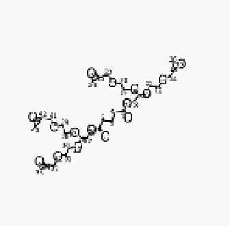 O=C(CCCC(=O)OCC(OCCOCC1CO1)OCCOCC1CO1)OCC(OCCOCC1CO1)OCCOCC1CO1